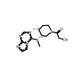 C[C@@H]1CCN(C(=O)CC#N)C[C@@H]1N(C)c1ncnc2nccn12